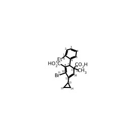 CCc1ccccc1C1C(C(=O)O)=C(Br)C(C2CC2)=CC1(C)C(=O)O